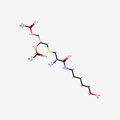 CC(=O)OC[C@H](CSC[C@H](N)C(=O)NCCCCCCO)OC(C)=O